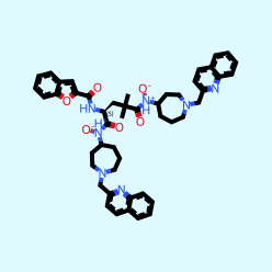 CC(C)(C[C@H](NC(=O)c1cc2ccccc2o1)C(=O)[NH+]([O-])C1CCCN(Cc2ccc3ccccc3n2)CC1)C(=O)[NH+]([O-])C1CCCN(Cc2ccc3ccccc3n2)CC1